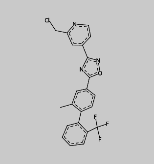 Cc1cc(-c2nc(-c3ccnc(CCl)c3)no2)ccc1-c1ccccc1C(F)(F)F